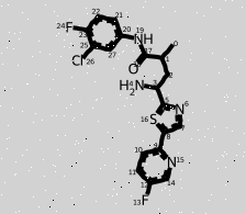 CC(CC(N)c1ncc(-c2ccc(F)cn2)s1)C(=O)Nc1ccc(F)c(Cl)c1